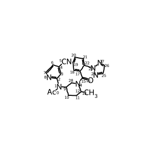 CC(=O)N(c1cc(C#N)ccn1)C1CCC(C)N(C(=O)c2ccccc2-n2nccn2)C1